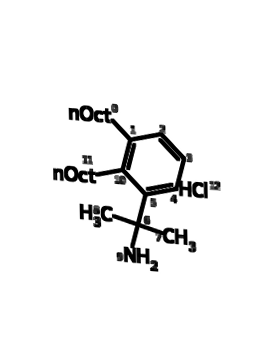 CCCCCCCCc1cccc(C(C)(C)N)c1CCCCCCCC.Cl